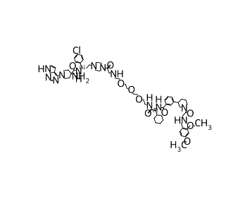 CCOc1cc(OC)ccc1CNCC(=O)N1CCCC(c2cccc(C(=O)N[C@@H](C(=O)NCCOCCOCCOCCNCC(=O)N3CCN(CC[C@H](NC(=O)C4(N)CCN(c5ncnc6[nH]ccc56)CC4)c4ccc(Cl)cc4)CC3)C3CCCCC3)c2)C1